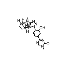 CN(c1nnc(-c2ccc(-c3ncn(C)c(=O)n3)cc2O)s1)[C@H]1[C@@H]2CC[C@@H](NC2)[C@@H]1F